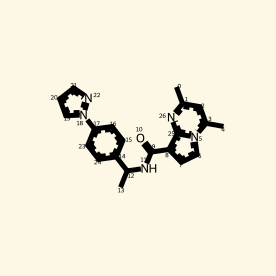 Cc1cc(C)n2ccc(C(=O)NC(C)c3ccc(-n4cccn4)cc3)c2n1